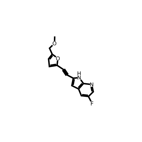 COCc1ccc(C#Cc2cc3cc(F)cnc3[nH]2)o1